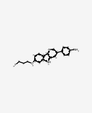 Nc1ccc(-c2cnc3c(c2)[nH]c2cc(OCCCF)ccc23)cc1